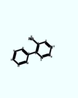 Oc1cnnnc1-c1ccccc1